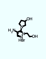 Br.Nc1cnn(CCO)c1N1CCC(O)C1